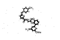 COc1cc(N)cc(-c2cccc3c2OC(CNC(=O)c2ccc(CN4CCN(C)CC4)o2)CO3)n1